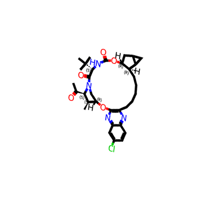 CC(=O)[C@@H]1[C@H](C)[C@@H]2CN1C(=O)[C@H](C(C)(C)C)NC(=O)O[C@@H]1CC3CC3[C@H]1CCCCCc1nc3ccc(Cl)cc3nc1O2